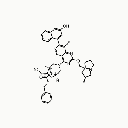 N#CC[C@@H]1C[C@@H]2CN(c3nc(OCC45CCCN4CC(F)C5)nc4c(F)c(-c5cc(O)cc6ccccc56)ncc34)C[C@H]1N2C(=O)OCc1ccccc1